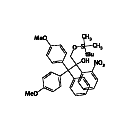 COc1ccc(C(c2ccccc2)(c2ccc(OC)cc2)C(O)(CO[Si](C)(C)C(C)(C)C)c2ccccc2[N+](=O)[O-])cc1